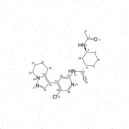 CC(=O)N[C@H]1CCC[C@H](C(=O)Nc2cc(-c3cnn4c3CCCC4)c(Cl)cn2)C1